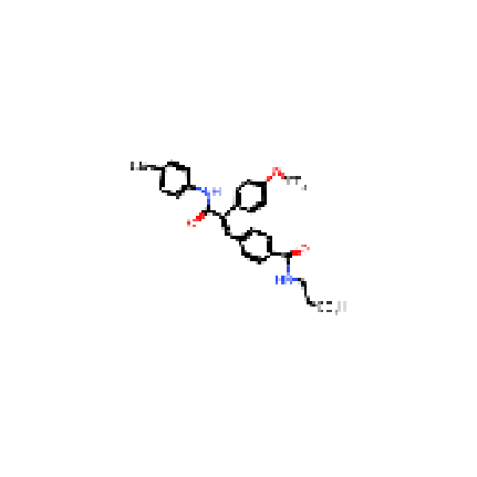 CC(C)(C)c1ccc(NC(=O)C(=Cc2ccc(C(=O)NCCC(=O)O)cc2)c2ccc(OC(F)(F)F)cc2)cc1